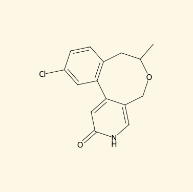 CC1Cc2ccc(Cl)cc2-c2cc(=O)[nH]cc2CO1